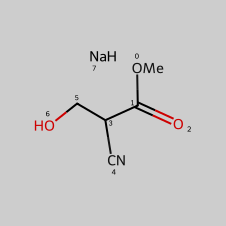 COC(=O)C(C#N)CO.[NaH]